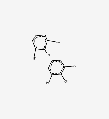 CC(C)c1cccc(C(C)C)c1O.CC(C)c1cccc(C(C)C)c1O